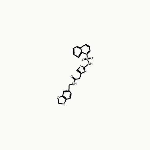 O=C(Cc1csc(NS(=O)(=O)c2cccc3ccccc23)n1)NCc1ccc2c(c1)OCO2